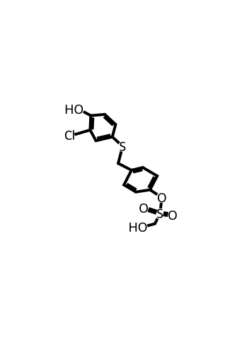 O=S(=O)(CO)Oc1ccc(CSc2ccc(O)c(Cl)c2)cc1